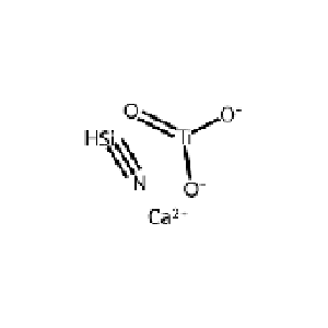 N#[SiH].[Ca+2].[O]=[Ti]([O-])[O-]